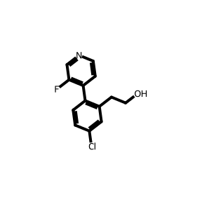 OCCc1cc(Cl)ccc1-c1ccncc1F